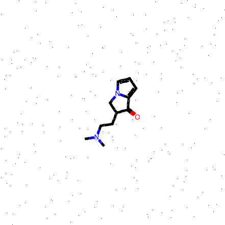 CN(C)CCC1Cn2cccc2C1=O